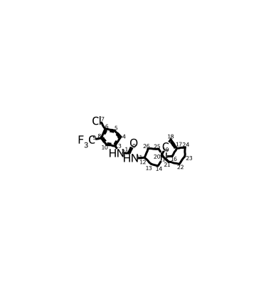 O=C(Nc1ccc(Cl)c(C(F)(F)F)c1)NC1CCN(C/C2=C\CCCCCC2)CC1